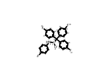 [O-][S+](Nc1ccc(F)cc1)C(c1ccc(F)cc1)(c1ccc(F)cc1)c1ccc(F)cc1